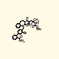 CC(C)(CC(=O)N[C@@H]1CCc2ccccc2N(Cc2ccc(-c3ccccc3C(N)=O)cc2Br)C1=O)NC(=O)OC(C)(C)C